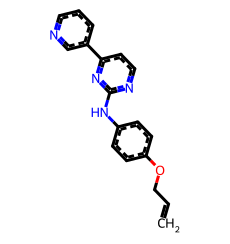 C=CCOc1ccc(Nc2nccc(-c3cccnc3)n2)cc1